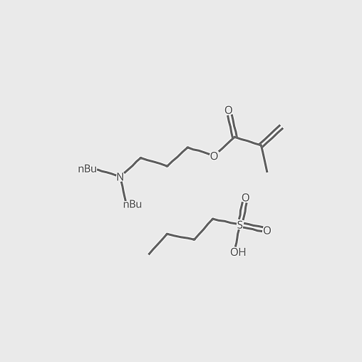 C=C(C)C(=O)OCCCN(CCCC)CCCC.CCCCS(=O)(=O)O